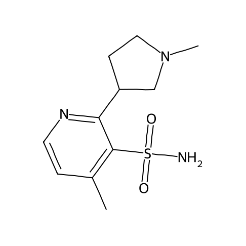 Cc1ccnc(C2CCN(C)C2)c1S(N)(=O)=O